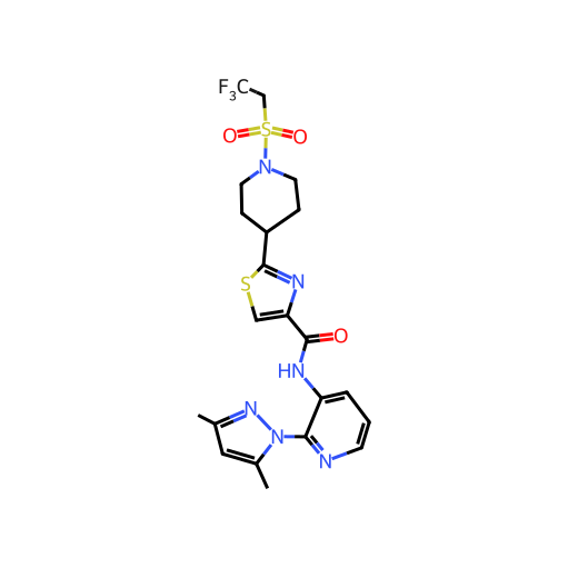 Cc1cc(C)n(-c2ncccc2NC(=O)c2csc(C3CCN(S(=O)(=O)CC(F)(F)F)CC3)n2)n1